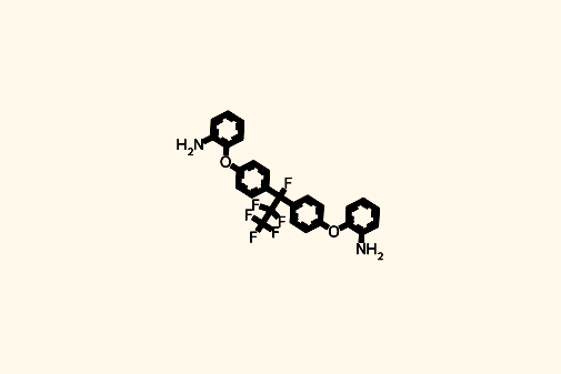 Nc1ccccc1Oc1ccc(C(F)(c2ccc(Oc3ccccc3N)cc2)C(F)(F)C(F)(F)F)cc1